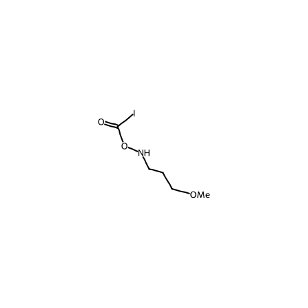 COCCCNOC(=O)I